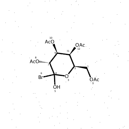 CC(=O)OC[C@H]1OC(O)(Br)[C@H](OC(C)=O)[C@@H](OC(C)=O)[C@H]1OC(C)=O